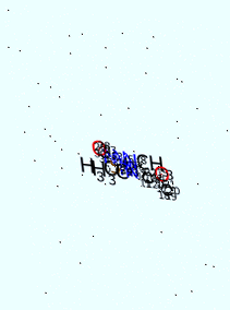 CS/C(=N\c1nc(C(C)c2cccc(C(=O)c3ccccc3)c2)nn1C)N1CCOCC1